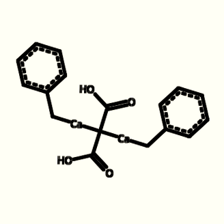 O=C(O)[C]([Ca][CH2]c1ccccc1)([Ca][CH2]c1ccccc1)C(=O)O